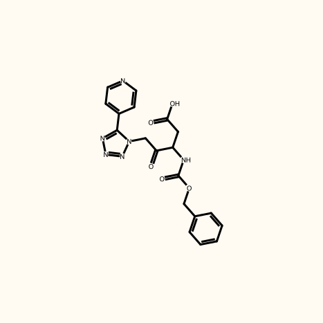 O=C(O)CC(NC(=O)OCc1ccccc1)C(=O)Cn1nnnc1-c1ccncc1